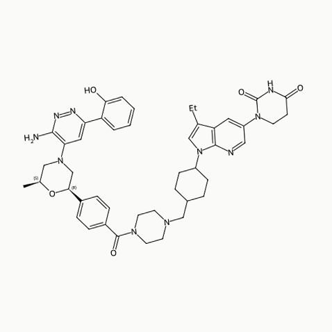 CCc1cn(C2CCC(CN3CCN(C(=O)c4ccc([C@@H]5CN(c6cc(-c7ccccc7O)nnc6N)C[C@H](C)O5)cc4)CC3)CC2)c2ncc(N3CCC(=O)NC3=O)cc12